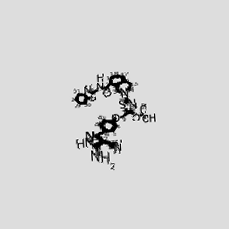 N#Cc1c(-c2ccc(OCc3sc(N4CCc5cccc(C(=O)Nc6nc7ccccc7s6)c5C4)nc3OC(=O)O)cc2)n[nH]c1N